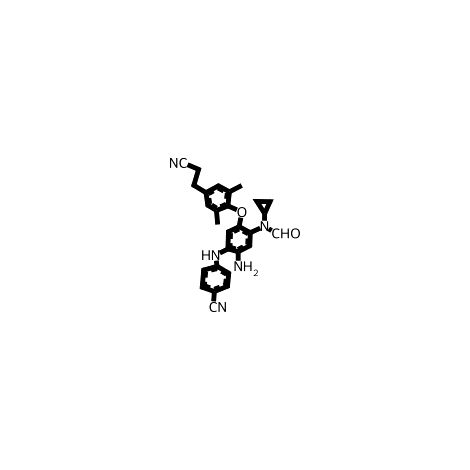 Cc1cc(CCC#N)cc(C)c1Oc1cc(Nc2ccc(C#N)cc2)c(N)cc1N(C=O)C1CC1